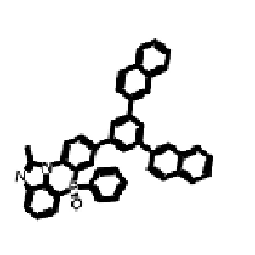 Cc1nc2cccc3c2n1-c1ccc(-c2cc(-c4ccc5ccccc5c4)cc(-c4ccc5ccccc5c4)c2)cc1P3(=O)c1ccccc1